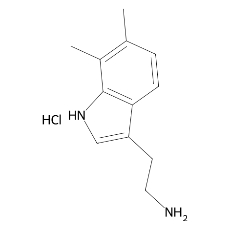 Cc1ccc2c(CCN)c[nH]c2c1C.Cl